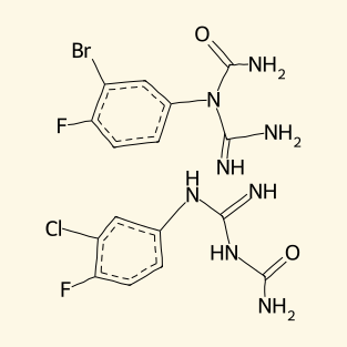 N=C(N)N(C(N)=O)c1ccc(F)c(Br)c1.N=C(NC(N)=O)Nc1ccc(F)c(Cl)c1